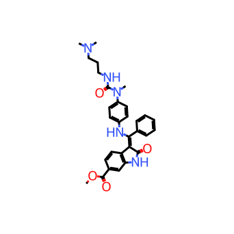 COC(=O)c1ccc2c(c1)NC(=O)C2=C(Nc1ccc(N(C)C(=O)NCCCN(C)C)cc1)c1ccccc1